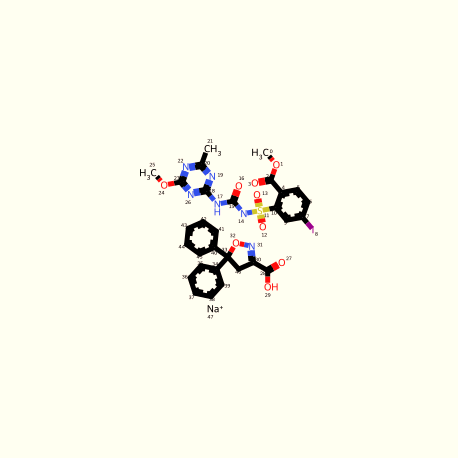 COC(=O)c1ccc(I)cc1S(=O)(=O)[N-]C(=O)Nc1nc(C)nc(OC)n1.O=C(O)C1=NOC(c2ccccc2)(c2ccccc2)C1.[Na+]